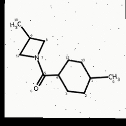 CC1CCC(C(=O)N2CC(C)C2)CC1